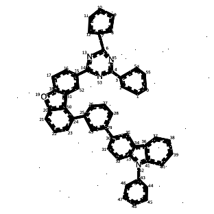 c1ccc(-c2nc(-c3ccccc3)nc(-c3ccc4oc5cccc(-c6cccc(-c7ccc8c(c7)c7ccccc7n8-c7ccccc7)c6)c5c4c3)n2)cc1